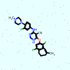 CC1=Cc2c(F)c(OC3=C(C#N)C(Nc4ccc(N5CCN(C)CC5)c(F)c4)=NCN3)cc(F)c2CCC1